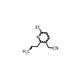 C=CCc1nc(CC)ccc1CC#N